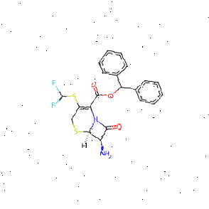 N[C@@H]1C(=O)N2C(C(=O)OC(c3ccccc3)c3ccccc3)=C(SC(F)F)CS[C@H]12